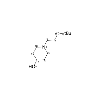 CC(C)(C)OCCN1CCC(O)CC1